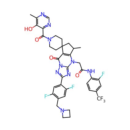 Cc1ncnc(C(=O)N2CCC3(CC2)CC(C)c2c3c(=O)n3nc(-c4cc(F)c(CN5CCC5)cc4F)nc3n2CC(=O)Nc2ccc(C(F)(F)F)cc2F)c1O